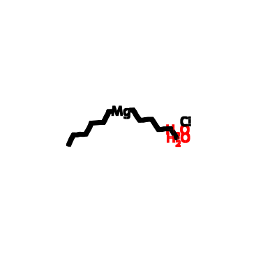 CCCCC[CH2][Mg][CH2]CCCCC.O.O.[C]